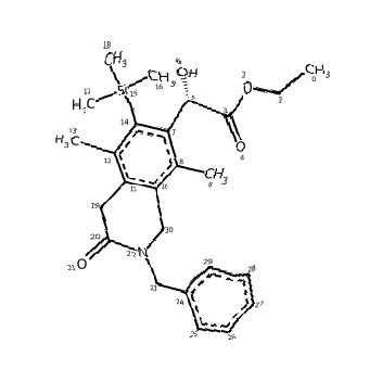 CCOC(=O)[C@@H](O)c1c(C)c2c(c(C)c1[Si](C)(C)C)CC(=O)N(Cc1ccccc1)C2